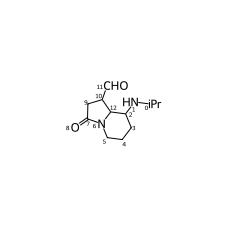 CC(C)NC1CCCN2C(=O)CC(C=O)C12